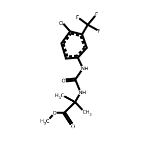 COC(=O)C(C)(C)NC(=O)Nc1ccc(Cl)c(C(F)(F)F)c1